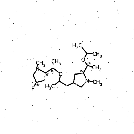 CC(C)O[C@@H](C)[C@@H]1CC(CC(C)O[C@@H](C)[C@@H]2C[C@@H](F)CN2C)CN1C